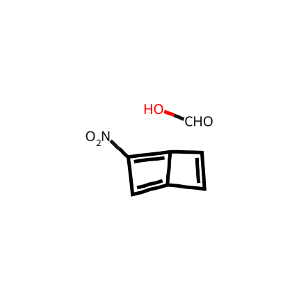 O=CO.O=[N+]([O-])c1cc2ccc1-2